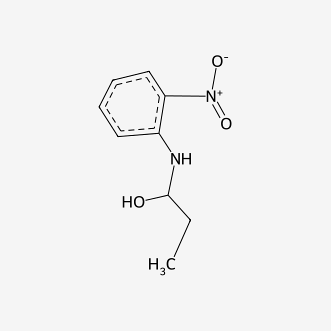 CCC(O)Nc1ccccc1[N+](=O)[O-]